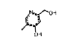 Cc1cnc(CO)cc1O